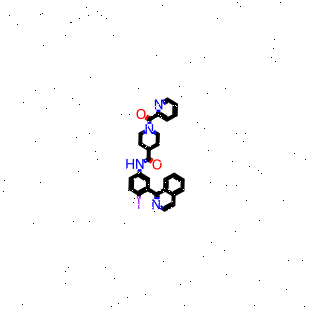 O=C(Nc1ccc(I)c(-c2nccc3ccccc23)c1)C1CCN(C(=O)c2ccccn2)CC1